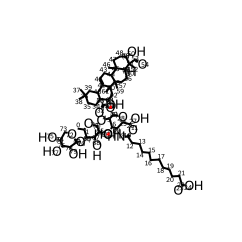 CC1O[C@@H](OC2C(O)[C@@H](NC(=O)CCCCCCCCCCC(=O)O)C(CO)O[C@H]2OC(=O)[C@]23CCC(C)(C)CC2C2=CCC4C5(C)CC[C@H](O)C(C)(C=O)[C@@H]5CCC4(C)C2(C)C[C@H]3O)C(O)C(O)[C@H]1O[C@@H]1OC[C@@H](O)C(O)C1O